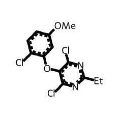 CCc1nc(Cl)c(Oc2cc(OC)ccc2Cl)c(Cl)n1